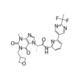 C[C@@H](C(=O)Nc1cccc(-c2cnc(C(C)(F)F)nc2)n1)n1cnc2c1c(=O)n(CC1COC1)c(=O)n2C